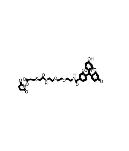 O=C(CSCCC(=O)ON1C(=O)CCC1=O)NCCOCCOCCNC(=O)c1ccc(-c2c3ccc(=O)cc-3oc3cc(O)ccc23)c(C(=O)O)c1